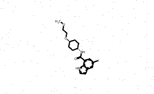 COCCO[C@H]1CC[C@H](NC(=O)c2cc(I)cc3cc[nH]c23)CC1